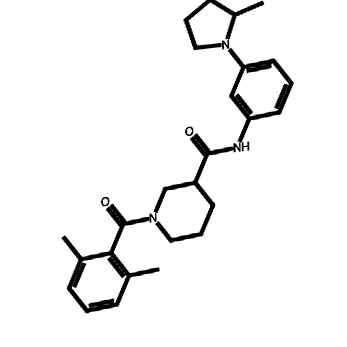 Cc1cccc(C)c1C(=O)N1CCCC(C(=O)Nc2cccc(N3CCCC3C)c2)C1